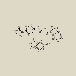 Fc1ccc2ncsc2c1.c1ccc2c(c1)ncn2CCCCN1CCN(c2ccsn2)CC1